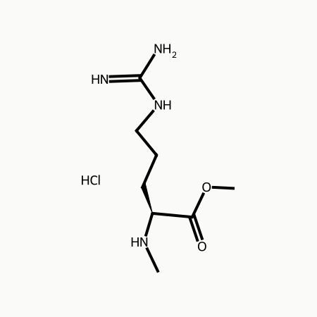 CN[C@@H](CCCNC(=N)N)C(=O)OC.Cl